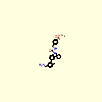 CNS(=O)(=O)c1ccc(CNC(=O)N2CC3(CCCC3)c3cc(-c4cc(CN)ccc4C)ccc32)cc1